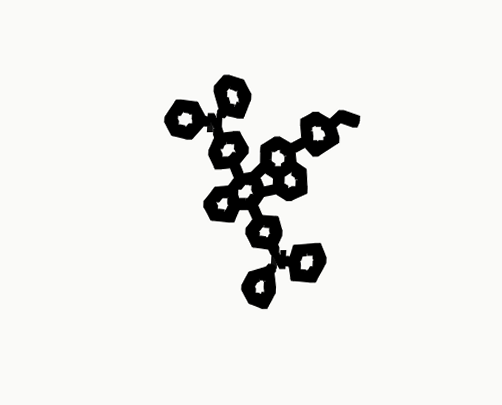 C=Cc1ccc(-c2ccc3c4c(cccc24)-c2c-3c(-c3ccc(N(c4ccccc4)c4ccccc4)cc3)c3ccccc3c2-c2ccc(N(c3ccccc3)c3ccccc3)cc2)cc1